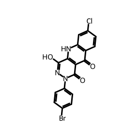 O=c1c2ccc(Cl)cc2[nH]c2c(O)nn(-c3ccc(Br)cc3)c(=O)c12